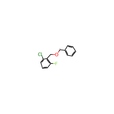 Fc1cccc(Cl)c1CO[CH]c1ccccc1